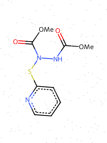 COC(=O)NN(Sc1ccccn1)C(=O)OC